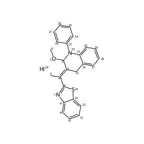 COC1C(=C(C)c2nc3ccccc3s2)Cc2ccccc2N1c1ccccc1.I